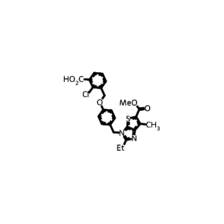 CCc1nc2c(C)c(C(=O)OC)sc2n1Cc1ccc(OCc2cccc(C(=O)O)c2Cl)cc1